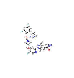 Cc1nn(-c2cc(OC3CN(C(=O)N4N=CC[C@H]4c4cc(F)cc(F)c4)C3)c(F)cn2)c(C)c1C(C)(C)C(N)=O